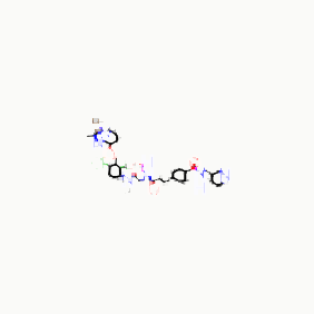 Cc1nc2c(OCc3c(Cl)ccc(N(C)C(=O)CNC(=O)C=Cc4ccc(C(=O)NCc5cccnc5)cc4)c3Cl)cccn2c1Br